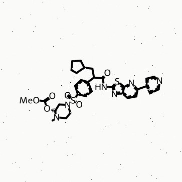 COC(=O)O[C@@H]1CN(S(=O)(=O)c2ccc(C(CC3CCCC3)C(=O)Nc3nc4ccc(-c5ccncc5)nc4s3)cc2)CCN1C